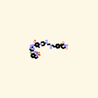 COc1cc(N2CCC(NCCNCCc3ccc(C4(C)CCC(=O)NC4=O)cc3)CC2)c(C)cc1Nc1ncc(Br)c(Nc2cccc3c2N(S(C)(=O)=O)CC3)n1